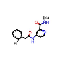 CCc1ccccc1CC(=O)Nc1ccnc(C(=O)NC(C)(C)C)c1